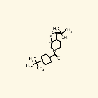 CC(C)(C)C(=O)C1CCN(C(=O)C2CCN(C(C)(C)C)CC2)CC1(F)F